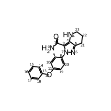 NC(=O)c1c2c(nn1-c1ccc(Oc3ccccc3)cc1)CCCN2